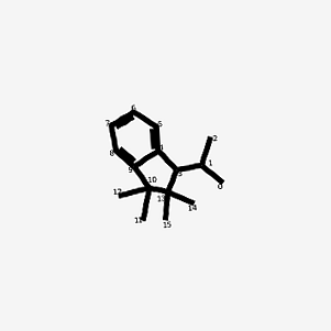 CC(C)C1c2ccccc2C(C)(C)C1(C)C